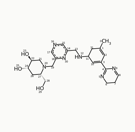 CC1=CC(C2=NCCC=N2)=CC(NCc2cncc(CN3C[C@H](O)[C@@H](O)C[C@H]3CO)n2)C1